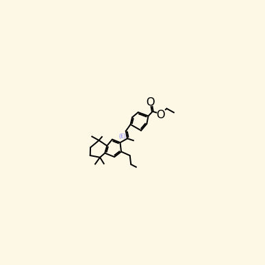 CCCc1cc2c(cc1/C(C)=C/c1ccc(C(=O)OCC)cc1)C(C)(C)CCC2(C)C